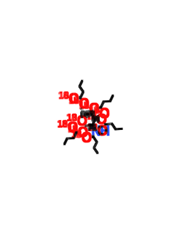 CCCC(=[18O])N[C@H]1C([18O]C(=[18O])CCC)[18O][C@H](C[18O]C(=[18O])CCC)[C@@H]([18O]C(=[18O])CCC)[C@@H]1[18O]C(=[18O])CCC